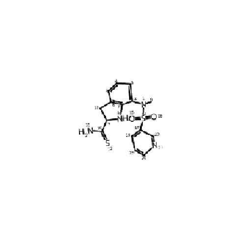 CN(c1cccc2c1NC(C(N)=S)C2)S(=O)(=O)c1cccnc1